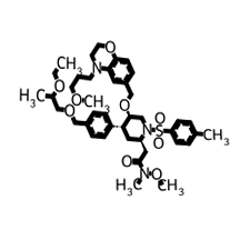 CCOC(C)COCc1ccc([C@H]2C[C@H](CC(=O)N(C)OC)N(S(=O)(=O)c3ccc(C)cc3)C[C@@H]2OCc2ccc3c(c2)N(CCCOC)CCO3)cc1